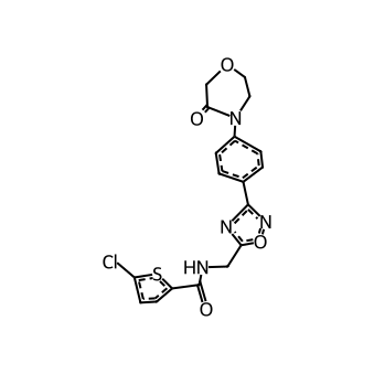 O=C(NCc1nc(-c2ccc(N3CCOCC3=O)cc2)no1)c1ccc(Cl)s1